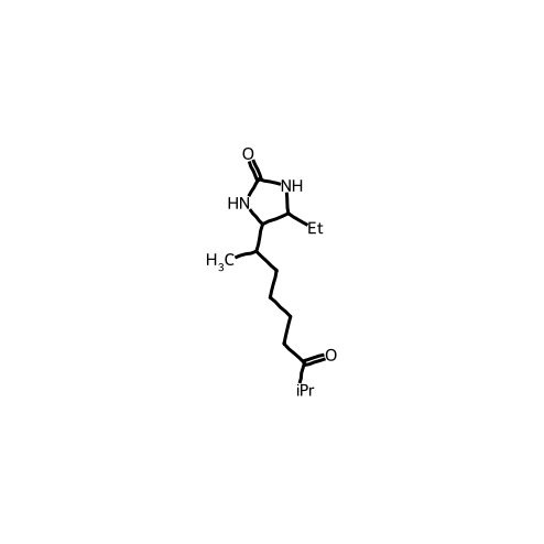 CCC1NC(=O)NC1C(C)CCCCC(=O)C(C)C